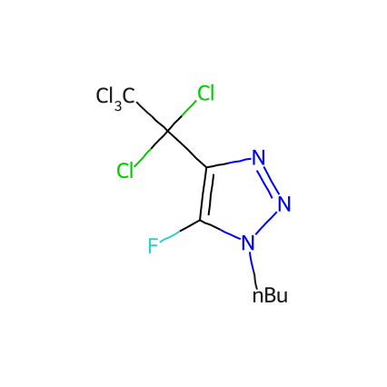 CCCCn1nnc(C(Cl)(Cl)C(Cl)(Cl)Cl)c1F